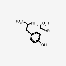 CC(C)(C)CC(=O)O.N[C@@H](Cc1ccc(O)cc1)C(=O)O